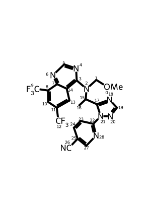 COCN(c1ncnc2c(C(F)(F)F)cc(C(F)(F)F)cc12)C(C)c1ncnn1-c1ccc(C#N)cn1